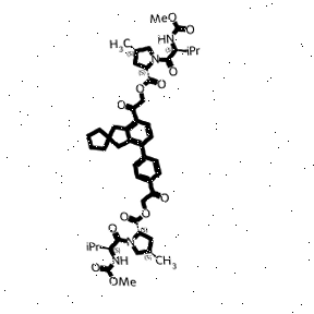 COC(=O)N[C@H](C(=O)N1C[C@@H](C)C[C@H]1C(=O)OCC(=O)c1ccc(-c2ccc(C(=O)COC(=O)[C@@H]3C[C@H](C)CN3C(=O)[C@@H](NC(=O)OC)C(C)C)c3c2CC2(CCCC2)C3)cc1)C(C)C